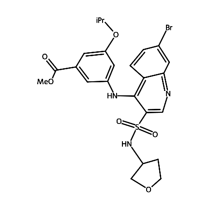 COC(=O)c1cc(Nc2c(S(=O)(=O)NC3CCOC3)cnc3cc(Br)ccc23)cc(OC(C)C)c1